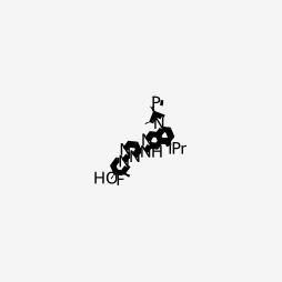 CC(C)c1ccc(N2C[C@H](CP(C)C)[C@H]2C)c2cnc(Nc3ccnc(N4CC[C@@H](O)[C@@](C)(F)C4)n3)cc12